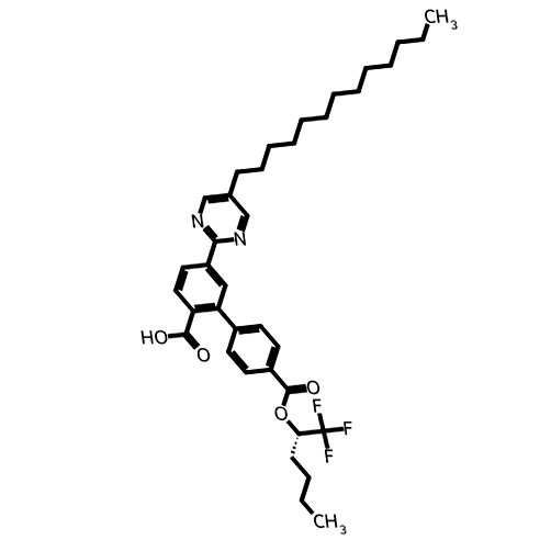 CCCCCCCCCCCCCc1cnc(-c2ccc(C(=O)O)c(-c3ccc(C(=O)O[C@@H](CCCC)C(F)(F)F)cc3)c2)nc1